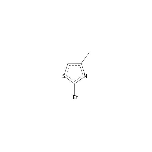 CCc1nc(C)cs1